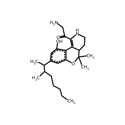 CCCCCC(C)C(C)c1cc(O)c2c(c1)OC(C)(C)C1CCNC(C(=O)CN)=C21